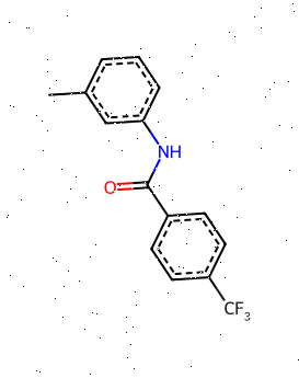 Cc1cccc(NC(=O)c2ccc(C(F)(F)F)cc2)c1